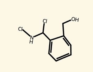 OCc1ccccc1C(Cl)NCl